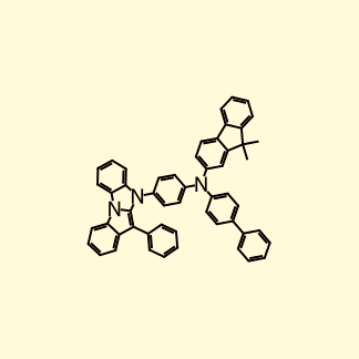 CC1(C)c2ccccc2-c2ccc(N(c3ccc(-c4ccccc4)cc3)c3ccc(-n4c5ccccc5n5c6ccccc6c(-c6ccccc6)c45)cc3)cc21